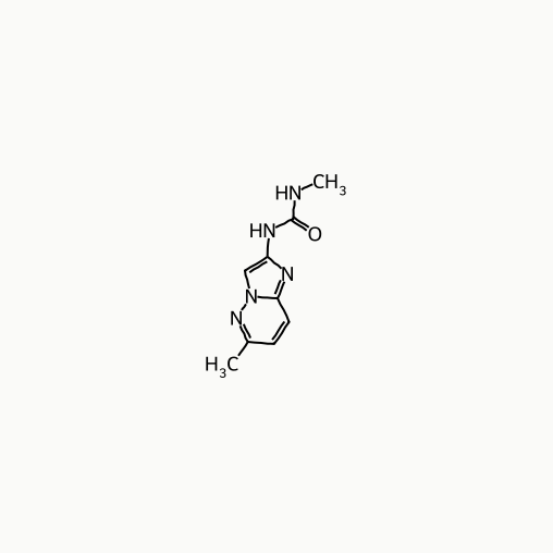 CNC(=O)Nc1cn2nc(C)ccc2n1